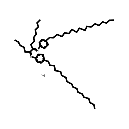 CCCCCCCCCCCCCCCCCCc1ccc(N=C(CCCCC)C(CCCCCCCC)=Nc2ccc(CCCCCCCCCCCCCCCCCC)cc2)cc1.[Pd]